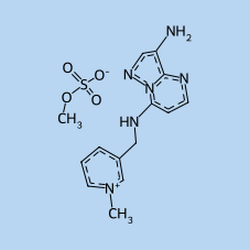 COS(=O)(=O)[O-].C[n+]1cccc(CNc2ccnc3c(N)cnn23)c1